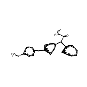 O=C(NO)C(c1ccccc1)c1ccc(-c2ccc(OC(F)(F)F)cc2)cc1